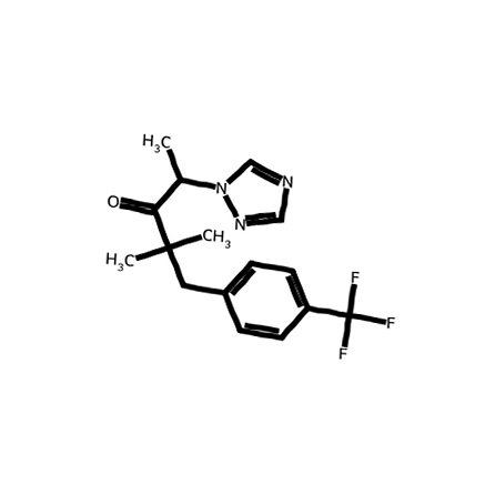 CC(C(=O)C(C)(C)Cc1ccc(C(F)(F)F)cc1)n1cncn1